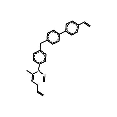 C=CC/N=C(/C)N(N=C)c1ccc(Cc2ccc(-c3ccc(C=C)cc3)cc2)cc1